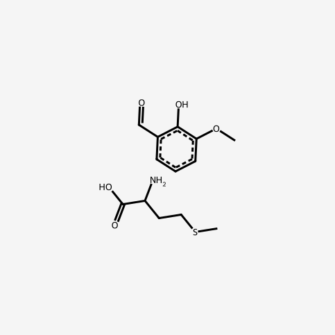 COc1cccc(C=O)c1O.CSCCC(N)C(=O)O